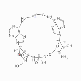 N[C@@H]1C2CO[P@](=O)(S)N[C@@H]3C(CO)O[C@H]([C@@H]3O)n3cnc4c(ncnc43)NC/C=C/CNc3ncnc4c3ncn4[C@H](O2)[C@@H]1O